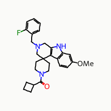 COc1ccc2c3c([nH]c2c1)CN(Cc1ccccc1F)CC31CCN(C(=O)C2CCC2)CC1